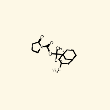 CC1CC2CCCC(C(C)(C)OC(=O)N3CCCC3=O)(C1)C2